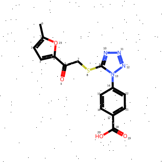 Cc1ccc(C(=O)CSc2nnnn2-c2ccc(C(=O)O)cc2)o1